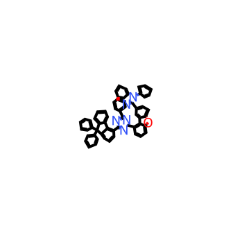 c1ccc(-c2nc(-c3cccc4c3-c3ccccc3C4(c3ccccc3)c3ccccc3)nc(-c3cccc4oc5ccc(-c6nc7ccccc7n6-c6ccccc6)cc5c34)n2)cc1